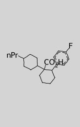 CCCC1CCC(C2(C(=O)O)CCCCC2c2ccc(F)cc2)CC1